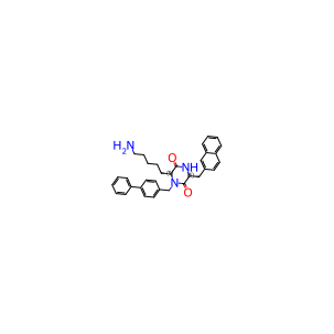 NCCCCC[C@H]1C(=O)N[C@@H](Cc2ccc3ccccc3c2)C(=O)N1Cc1ccc(-c2ccccc2)cc1